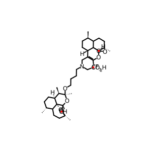 C[C@@H]1CC[C@H]2C(CN(CCCCO[C@@]3(C)O[C@@H]4O[C@]5(C)CCC6[C@H](C)CC[C@@H]([C@H]3C)[C@]64OO5)CC(=O)O)=C(C(F)(F)F)O[C@@H]3O[C@]4(C)CCC1[C@]32O4